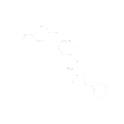 CCCC(=O)N1CCC(Nc2ccc(NC(=O)c3nc(-c4ccccc4)oc3C(F)(F)F)cn2)CC1